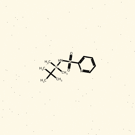 CC(C)(C)[Si](C)(C)NS(=O)(=O)c1ccccn1